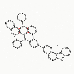 C1=CC(c2ccc(N(c3ccccc3-c3ccc4ccccc4c3)c3ccc(-c4ccc5c(ccc6oc7ccccc7c65)c4)cc3-c3ccccc3)cc2)=CCC1